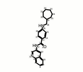 O=C(Nc1cnc2ccccc2c1)c1ccc(NCC2CCCCCC2)cc1